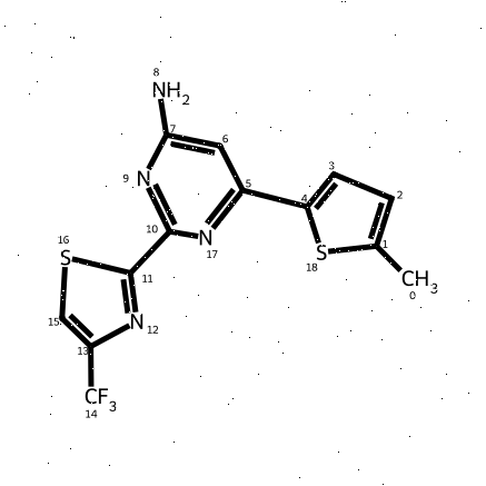 Cc1ccc(-c2cc(N)nc(-c3nc(C(F)(F)F)cs3)n2)s1